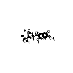 COc1cc2c(cc1Cl)C=C([C@H](C)Nc1nc(C)nc(N3C(=O)OC[C@@H]3CF)n1)C(O)N2